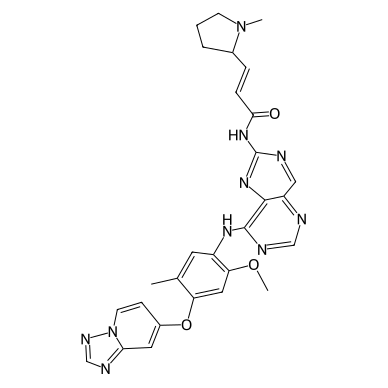 COc1cc(Oc2ccn3ncnc3c2)c(C)cc1Nc1ncnc2cnc(NC(=O)C=CC3CCCN3C)nc12